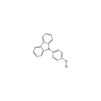 CCOc1ccc(-n2c3ccccc3c3ccccc32)cc1